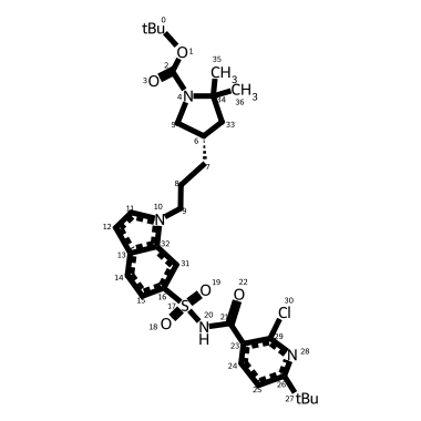 CC(C)(C)OC(=O)N1C[C@@H](CCCn2ccc3ccc(S(=O)(=O)NC(=O)c4ccc(C(C)(C)C)nc4Cl)cc32)CC1(C)C